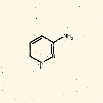 NC1=NNCC=C1